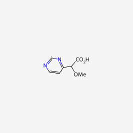 COC(C(=O)O)c1ccn[c]n1